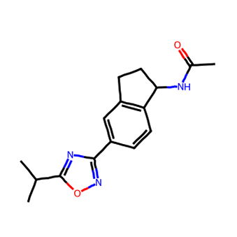 CC(=O)NC1CCc2cc(-c3noc(C(C)C)n3)ccc21